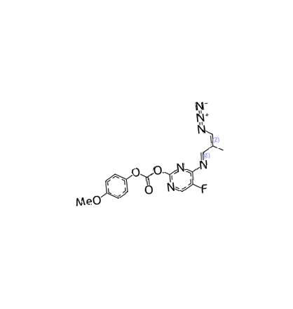 COc1ccc(OC(=O)Oc2ncc(F)c(/N=C/C(C)=C\N=[N+]=[N-])n2)cc1